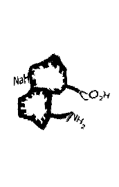 Nc1cccc2cccc(C(=O)O)c12.[NaH]